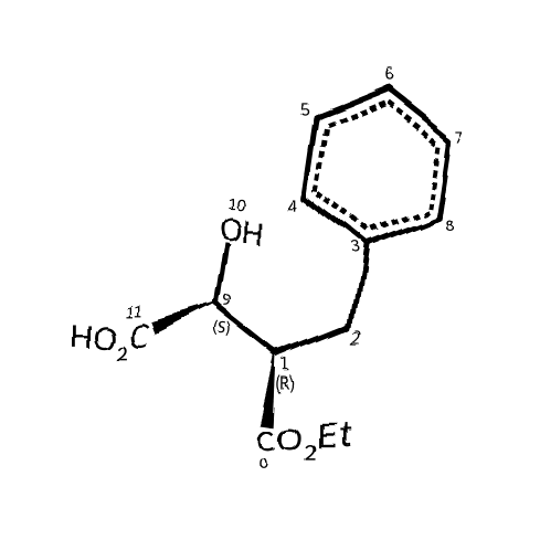 CCOC(=O)[C@H](Cc1ccccc1)[C@H](O)C(=O)O